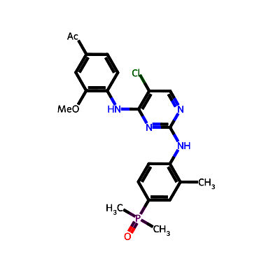 COc1cc(C(C)=O)ccc1Nc1nc(Nc2ccc(P(C)(C)=O)cc2C)ncc1Cl